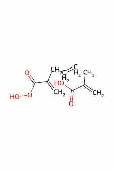 C=C.C=C(C)C(=O)O.C=C(C)C(=O)OO